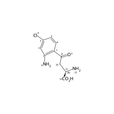 Nc1cc(Cl)ccc1C(=O)C[C@@H](N)C(=O)O